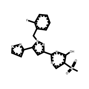 CS(=O)(=O)c1cnc(-c2cc(-c3ccon3)n(Cc3ccccc3F)n2)nc1O